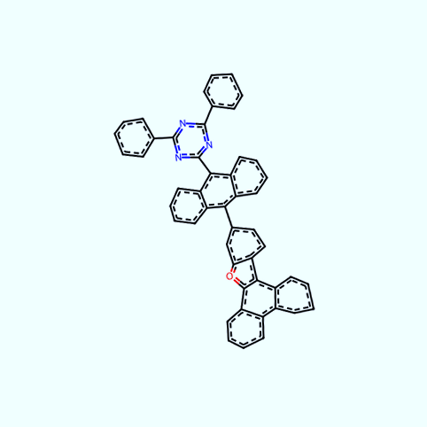 c1ccc(-c2nc(-c3ccccc3)nc(-c3c4ccccc4c(-c4ccc5c(c4)oc4c6ccccc6c6ccccc6c54)c4ccccc34)n2)cc1